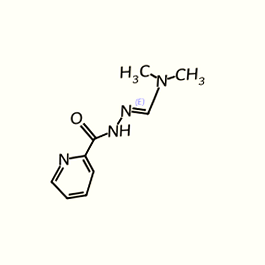 CN(C)/C=N/NC(=O)c1ccccn1